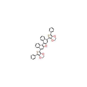 c1ccc(-c2sc(-c3cc4oc5cc(-c6sc(-c7ccccc7)c7c6OCCO7)c6ccccc6c5c4c4ccccc34)c3c2OCCO3)cc1